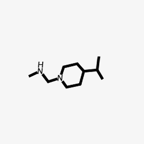 CNCN1CCC(C(C)C)CC1